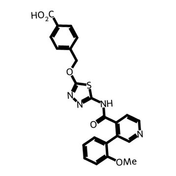 COc1ccccc1-c1cnccc1C(=O)Nc1nnc(OCc2ccc(C(=O)O)cc2)s1